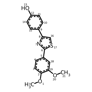 COc1ccc(-c2nc(-c3ccc(O)cc3)cs2)cc1OC